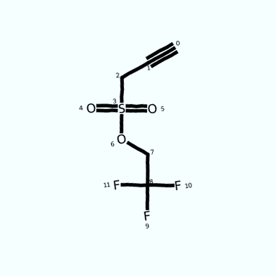 C#CCS(=O)(=O)OCC(F)(F)F